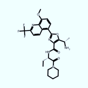 CC[C@H](NC(=O)c1nc(-c2ccc(OC)c3nc(C(F)(F)F)ccc23)oc1[C@H](C)N)C(=O)N1CCCCC1